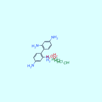 Cl.Cl.Cl.Cl.Nc1ccc(-c2ccc(N)cc2N)c(N)c1.O.O